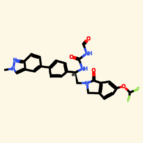 Cn1cc2cc(-c3ccc([C@H](CN4Cc5ccc(OC(F)F)cc5C4=O)NC(=O)NC=O)cc3)ccc2n1